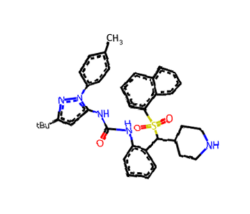 Cc1ccc(-n2nc(C(C)(C)C)cc2NC(=O)Nc2ccccc2C(C2CCNCC2)S(=O)(=O)c2cccc3ccccc23)cc1